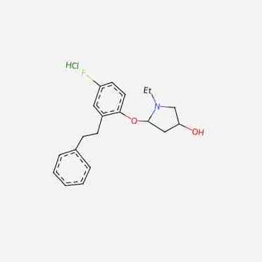 CCN1CC(O)CC1Oc1ccc(F)cc1CCc1ccccc1.Cl